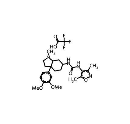 COc1ccc(C23CCC(NC(=O)Nc4c(C)noc4C)CC2N(C)CC3)cc1OC.O=C(O)C(F)(F)F